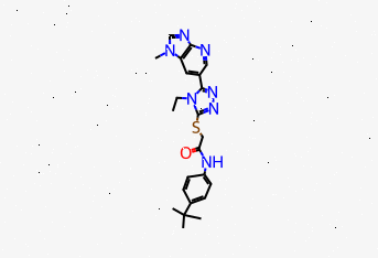 CCn1c(SCC(=O)Nc2ccc(C(C)(C)C)cc2)nnc1-c1cnc2ncn(C)c2c1